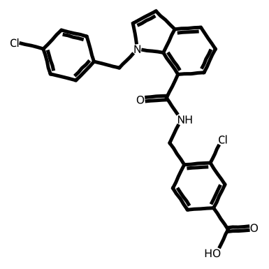 O=C(O)c1ccc(CNC(=O)c2cccc3ccn(Cc4ccc(Cl)cc4)c23)c(Cl)c1